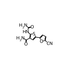 N#Cc1ccc(-c2cc(C(N)=O)c(NC(N)=O)s2)o1